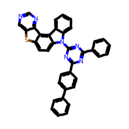 c1ccc(-c2ccc(-c3nc(-c4ccccc4)nc(-n4c5ccccc5c5c6c(ccc54)sc4cncnc46)n3)cc2)cc1